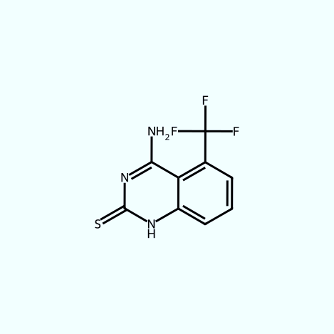 Nc1nc(=S)[nH]c2cccc(C(F)(F)F)c12